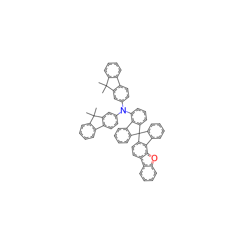 CC1(C)c2ccccc2-c2ccc(N(c3ccc4c(c3)C(C)(C)c3ccccc3-4)c3cccc4c3-c3ccccc3C43c4ccccc4-c4c3ccc3c4oc4ccccc43)cc21